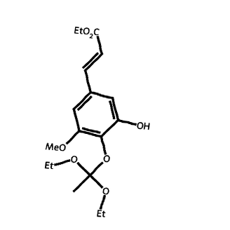 CCOC(=O)C=Cc1cc(O)c(OC(C)(OCC)OCC)c(OC)c1